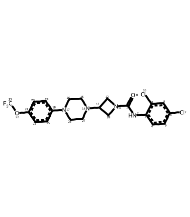 O=C(Nc1ccc(Cl)cc1Cl)N1CC(N2CCN(c3ccc(OC(F)(F)F)cc3)CC2)C1